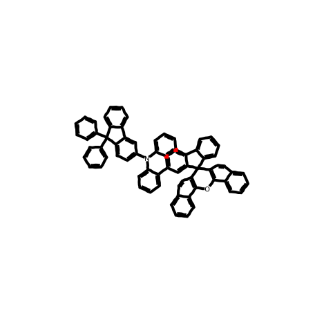 c1ccc(N(c2ccc3c(c2)-c2ccccc2C3(c2ccccc2)c2ccccc2)c2ccccc2-c2ccc3c(c2)C2(c4ccccc4-3)c3ccc4ccccc4c3Oc3c2ccc2ccccc32)cc1